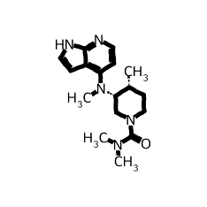 C[C@@H]1CCN(C(=O)N(C)C)C[C@@H]1N(C)c1ccnc2[nH]ccc12